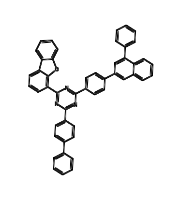 c1ccc(-c2ccc(-c3nc(-c4ccc(-c5cc(-c6ccccc6)c6ccccc6c5)cc4)nc(-c4cccc5c4oc4ccccc45)n3)cc2)cc1